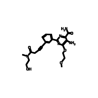 COCCOc1nc(-c2cccc(C#CCC(=O)N(C)CCO)c2)nc(C(N)=O)c1N